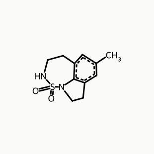 Cc1cc2c3c(c1)CCN3S(=O)(=O)NCC2